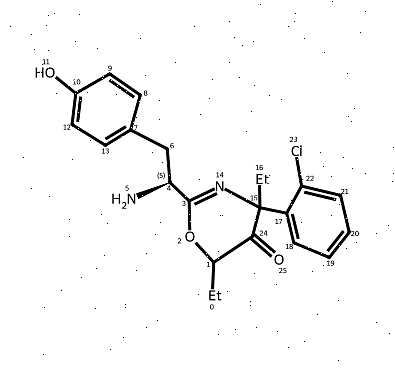 CCC1OC([C@@H](N)Cc2ccc(O)cc2)=NC(CC)(c2ccccc2Cl)C1=O